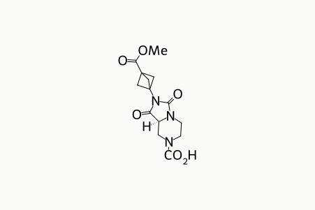 COC(=O)C12CC(N3C(=O)[C@@H]4CN(C(=O)O)CCN4C3=O)(C1)C2